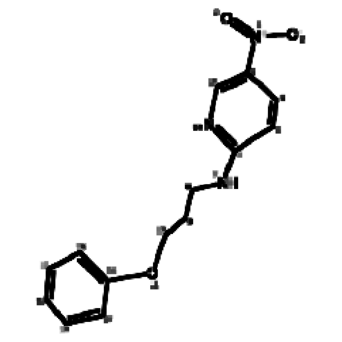 O=[N+]([O-])c1ccc(NCCCOc2ccccc2)nc1